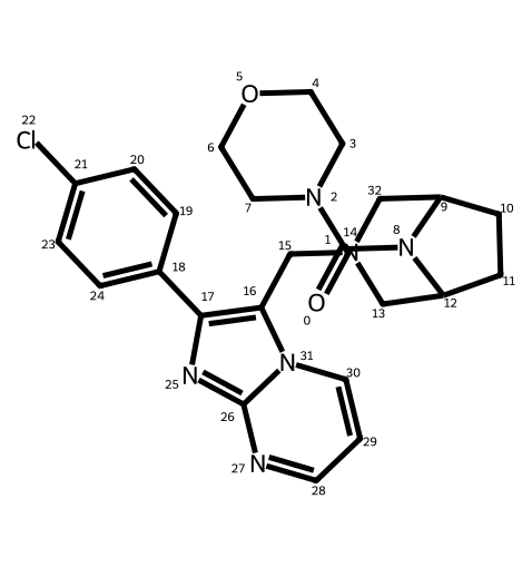 O=C(N1CCOCC1)N1C2CCC1CN(Cc1c(-c3ccc(Cl)cc3)nc3ncccn13)C2